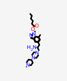 CCCCCC(=O)OCn1ncc2cc(C[C@@H](N)CN3CCN(C4CCN(C)CC4)CC3)cc(C)c21